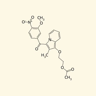 COc1cc(C(=O)c2c(C)c(OCCOC(C)=O)c3ccccn23)ccc1[N+](=O)[O-]